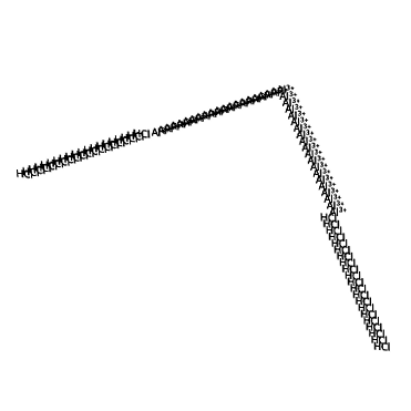 Cl.Cl.Cl.Cl.Cl.Cl.Cl.Cl.Cl.Cl.Cl.Cl.Cl.Cl.Cl.Cl.Cl.Cl.Cl.Cl.Cl.Cl.Cl.Cl.Cl.Cl.Cl.Cl.Cl.Cl.Cl.Cl.Cl.Cl.Cl.Cl.Cl.Cl.Cl.Cl.Cl.[Al+3].[Al+3].[Al+3].[Al+3].[Al+3].[Al+3].[Al+3].[Al+3].[Al+3].[Al+3].[Al+3].[Al+3].[Al+3].[Al+3].[Al+3].[Al+3].[Al+3].[Al+3].[Al+3].[Al+3].[Al+3].[Al+3].[Al+3].[Al+3].[Al+3].[Al+3].[Al+3].[Al+3].[Al+3].[Al+3].[Al+3].[Al+3].[Al+3].[Al+3].[Al+3].[Al+3].[Al+3].[Al+3].[Al+3].[Al+3]